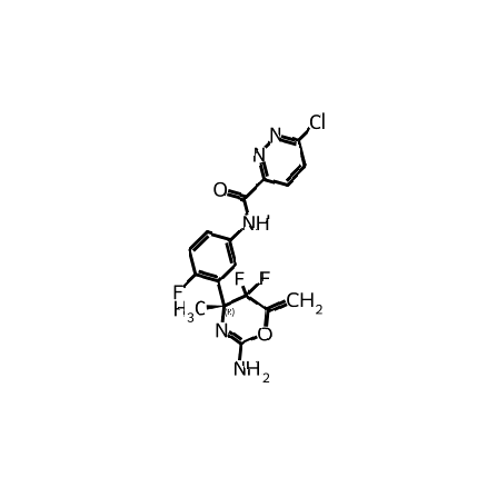 C=C1OC(N)=N[C@](C)(c2cc(NC(=O)c3ccc(Cl)nn3)ccc2F)C1(F)F